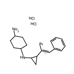 CC(C)/C(=C\c1ccccc1)C1CC1NC1CCC(N)CC1.Cl.Cl